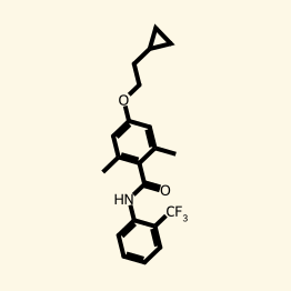 Cc1cc(OCCC2CC2)cc(C)c1C(=O)Nc1ccccc1C(F)(F)F